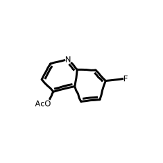 CC(=O)Oc1ccnc2cc(F)ccc12